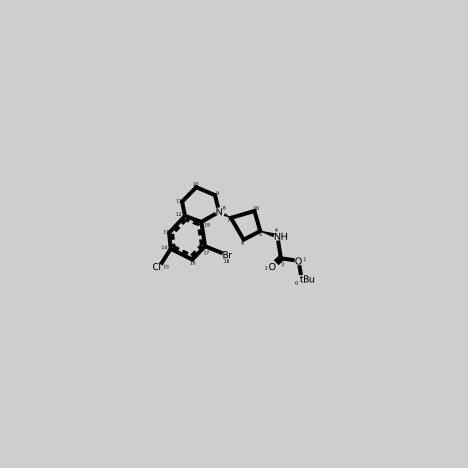 CC(C)(C)OC(=O)N[C@H]1C[C@H](N2CCCc3cc(Cl)cc(Br)c32)C1